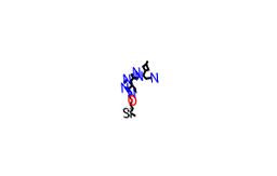 CC1CC(C(CC#N)n2cc(-c3ncnc4c3ccn4COCC[Si](C)(C)C)cn2)C1